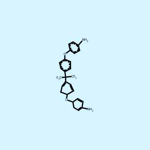 NC1=CCC(OC2C=CC(C(c3ccc(Oc4ccc(N)cc4)cc3)(C(F)(F)F)C(F)(F)F)=CC2)C=C1